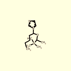 CCCCC(OC(C)[Si](C)(C)C)n1ccnc1